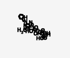 Cc1nc(NCc2ccccc2)c2ncn([C@@H]3O[C@H](COP(=O)(O)CP(=O)(O)O)[C@@H](O)[C@H]3O)c2n1